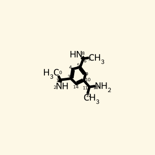 CC(=N)c1cc(C(C)=N)cc(C(C)N)c1